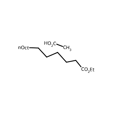 CC(=O)O.CCCCCCCCCCCCCC(=O)OCC